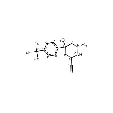 C#CC1CC(O)(c2ccc(C(F)(F)F)cc2)C[C@H](C)N1